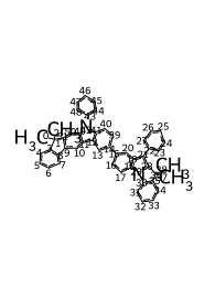 CC1(C)c2ccccc2-c2cc3c4cc(-c5ccc6c(c5)c(-c5ccccc5)c5n6-c6ccccc6C5(C)C)ccc4n(-c4ccccc4)c3cc21